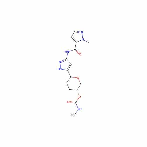 Cn1nccc1C(=O)Nc1cc(C2CC[C@@H](OC(=O)NC(C)(C)C)CO2)[nH]n1